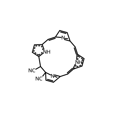 N#CC1c2ccc([nH]2)C=C2C=CC(=N2)C=c2ccc([nH]2)=CC2=NC1(C#N)C=C2